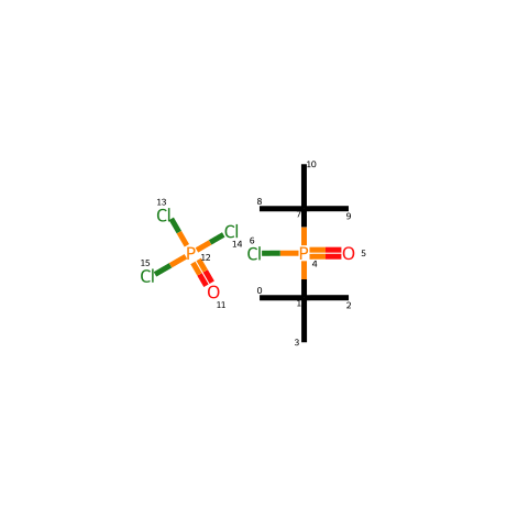 CC(C)(C)P(=O)(Cl)C(C)(C)C.O=P(Cl)(Cl)Cl